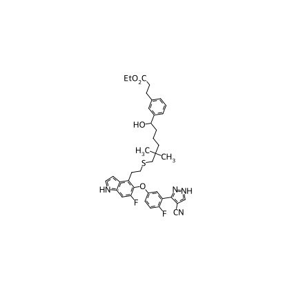 CCOC(=O)CCc1cccc(C(O)CCCC(C)(C)CSCCc2c(Oc3ccc(F)c(-c4n[nH]cc4C#N)c3)c(F)cc3[nH]ccc23)c1